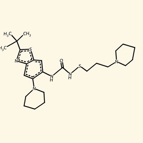 CC(C)(C)c1nc2cc(N3CCCCC3)c(NC(=O)NSCCCN3CCCCC3)cc2s1